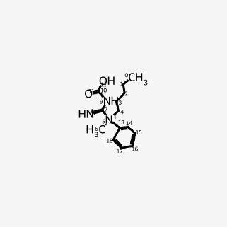 CCCCC[N+](C)(C(=N)NC(=O)O)c1ccccc1